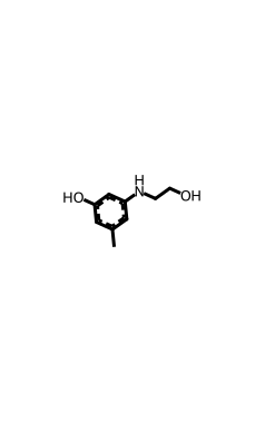 Cc1cc(O)cc(NCCO)c1